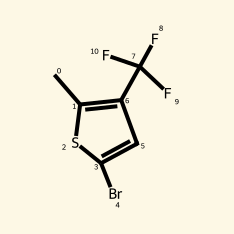 Cc1sc(Br)cc1C(F)(F)F